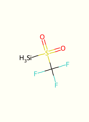 O=S(=O)([SiH3])C(F)(F)F